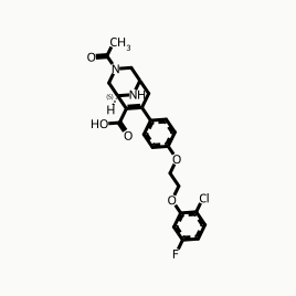 CC(=O)N1CC2CC(c3ccc(OCCOc4cc(F)ccc4Cl)cc3)=C(C(=O)O)[C@@H](C1)N2